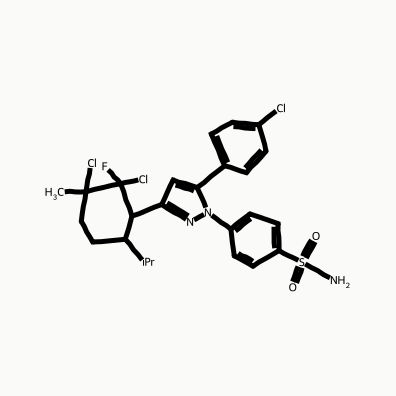 CC(C)C1CCC(C)(Cl)C(F)(Cl)C1c1cc(-c2ccc(Cl)cc2)n(-c2ccc(S(N)(=O)=O)cc2)n1